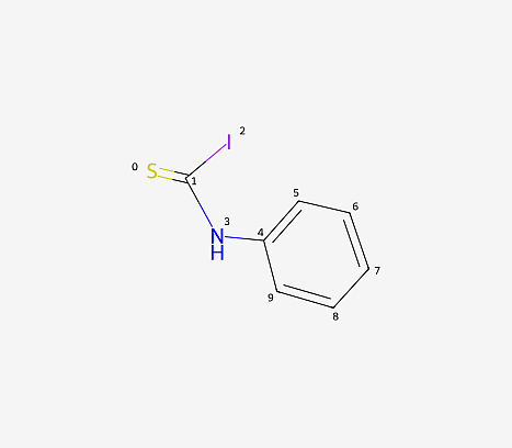 S=C(I)Nc1ccccc1